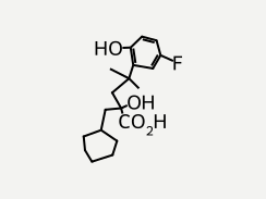 CC(C)(CC(O)(CC1CCCCC1)C(=O)O)c1cc(F)ccc1O